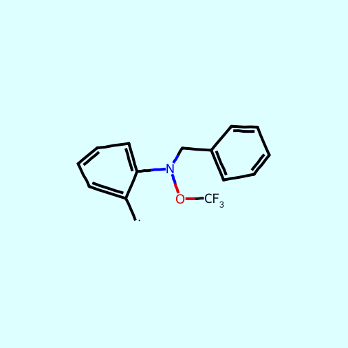 [CH2]c1ccccc1N(Cc1ccccc1)OC(F)(F)F